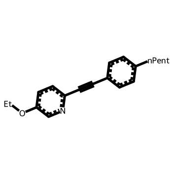 CCCCCc1ccc(C#Cc2ccc(OCC)cn2)cc1